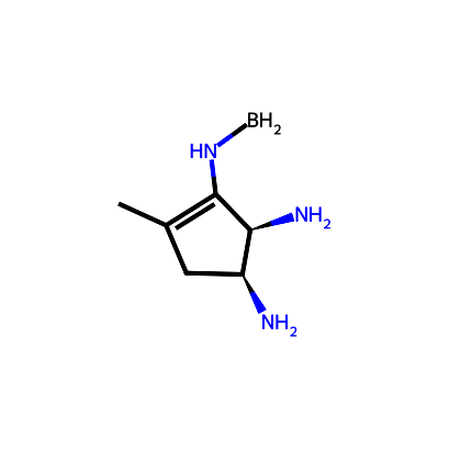 BNC1=C(C)C[C@H](N)[C@@H]1N